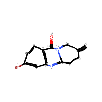 C=C1CCc2nc3cc(Br)ccc3c(=O)n2C1